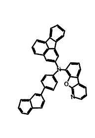 c1ccc2c(c1)-c1cccc3cc(N(c4ccc(-c5ccc6ccccc6c5)cc4)c4cccc5c4oc4ncccc45)cc-2c13